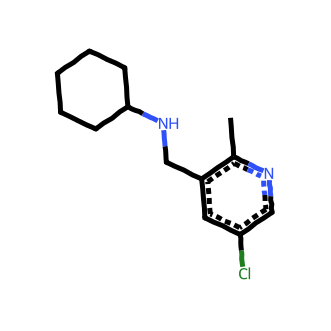 Cc1ncc(Cl)cc1CNC1CCCCC1